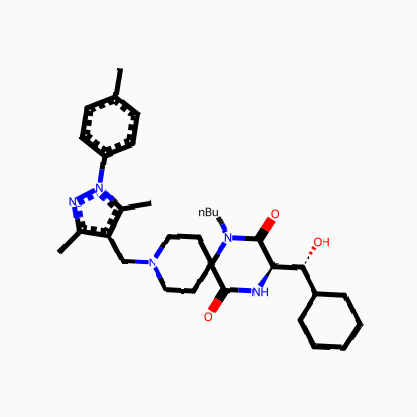 CCCCN1C(=O)[C@@H]([C@H](O)C2CCCCC2)NC(=O)C12CCN(Cc1c(C)nn(-c3ccc(C)cc3)c1C)CC2